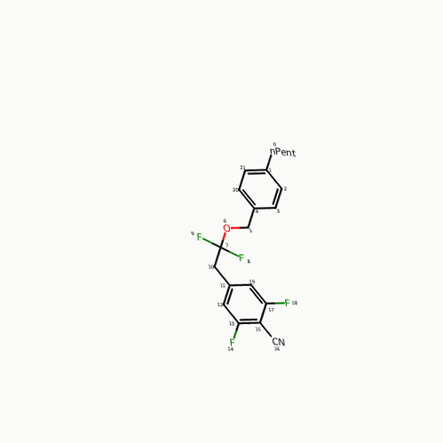 CCCCCc1ccc(COC(F)(F)Cc2cc(F)c(C#N)c(F)c2)cc1